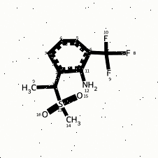 CC(c1cccc(C(F)(F)F)c1N)S(C)(=O)=O